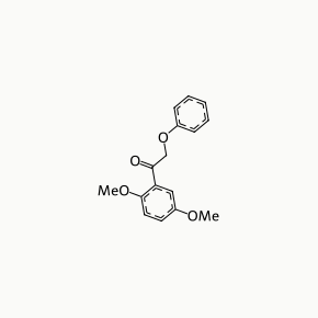 COc1ccc(OC)c(C(=O)COc2ccccc2)c1